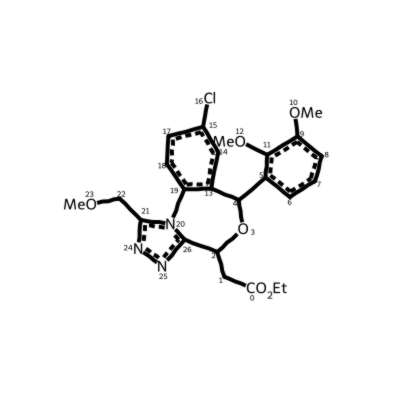 CCOC(=O)CC1OC(c2cccc(OC)c2OC)c2cc(Cl)ccc2-n2c(COC)nnc21